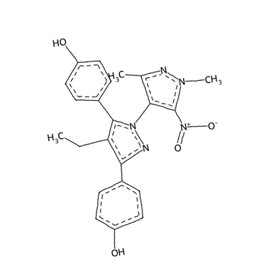 CCc1c(-c2ccc(O)cc2)nn(-c2c(C)nn(C)c2[N+](=O)[O-])c1-c1ccc(O)cc1